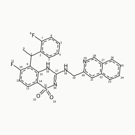 CC(c1ccccc1F)c1c(F)ccc2c1NC(NCc1cc3ccccc3cn1)=NS2(=O)=O